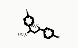 O=C(O)C(CC(C(=O)O)c1ccc(F)cc1)c1ccc(F)cc1